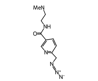 CNCCNC(=O)c1ccc(CN=[N+]=[N-])nc1